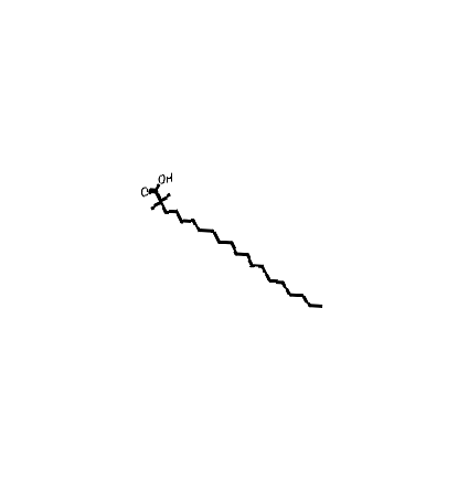 CCCCCCCCCCCCCCCCCCC(C)(C)C(=O)O